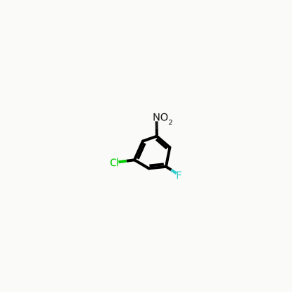 O=[N+]([O-])c1cc(F)cc(Cl)c1